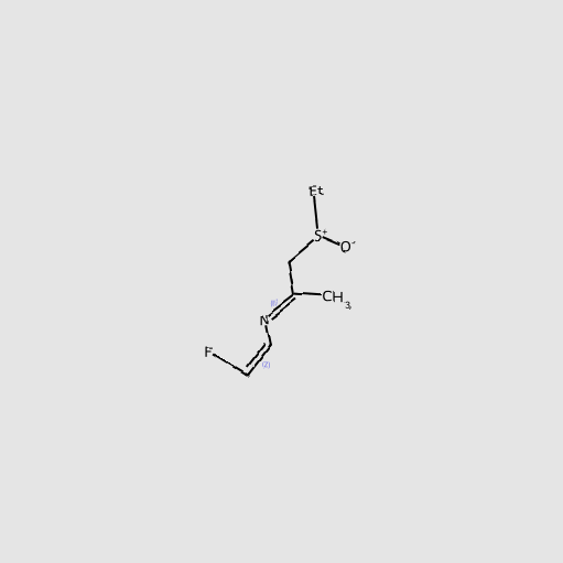 CC[S+]([O-])C/C(C)=N/C=C\F